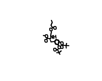 CCCC(=O)OCCN[C@@H](Cc1ccc(OC(=O)C(C)(C)C)c(OC(=O)C(C)(C)C)c1)C(=O)OC